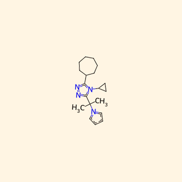 CC(C)(c1nnc(C2CCCCCC2)n1C1CC1)n1cccc1